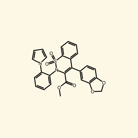 COC(=O)C1=C(c2ccc3c(c2)OCO3)c2ccccc2S(=O)(=O)N1c1ccccc1-n1cccc1